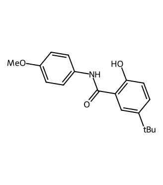 COc1ccc(NC(=O)c2cc(C(C)(C)C)ccc2O)cc1